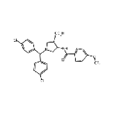 O=C(NC1CN(C(c2ccc(Cl)cc2)c2ccc(Cl)cc2)CC1C(=O)O)c1ccc(OC(F)(F)F)cc1